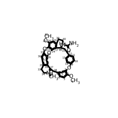 COc1ccc2cc1Oc1ccc(cc1)C[C@H]1c3c(cc(OC)c4c3Oc3cc5c(cc3O4)CCN(C)[C@H]5C2)CCN1C(N)=O